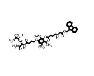 COc1cc(C(C)OC(=O)CCCNCC(=O)OCC2c3ccccc3-c3ccccc32)c([N+](=O)[O-])cc1OCCCC(=O)NC(SSCC(N)C(=O)O)C(N)=O